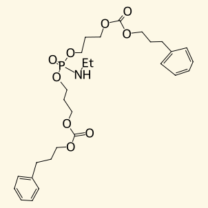 CCNP(=O)(OCCCOC(=O)OCCCc1ccccc1)OCCCOC(=O)OCCCc1ccccc1